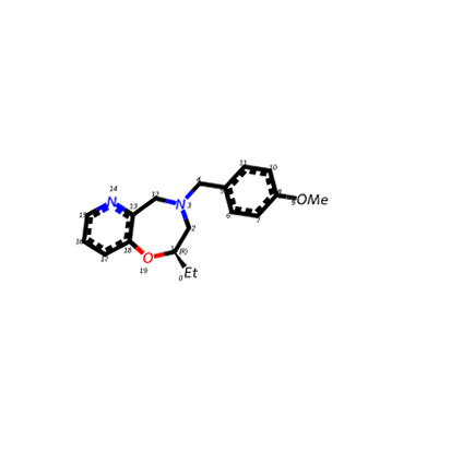 CC[C@@H]1CN(Cc2ccc(OC)cc2)Cc2ncccc2O1